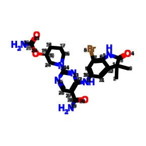 CC1(C)C(=O)Nc2c(Br)cc(Nc3nc(N4CCC[C@H](OC(N)=O)C4)ncc3C(N)=O)cc21